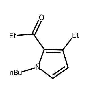 CCCCn1ccc(CC)c1C(=O)CC